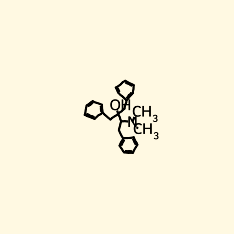 CN(C)C(Cc1ccccc1)C(O)(Cc1ccccc1)Cc1ccccc1